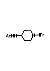 CC(=O)NC1CCN(C(C)C)CC1